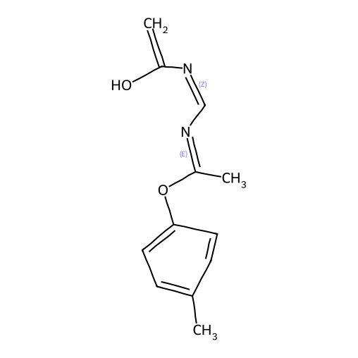 C=C(O)/N=C\N=C(/C)Oc1ccc(C)cc1